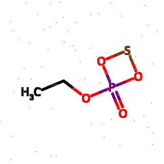 CCOP1(=O)OSO1